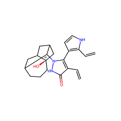 C=Cc1[nH]ccc1-c1c(C=C)c(=O)[nH]n1C1C2CCC[C@@]3(O)CC1CC3C2